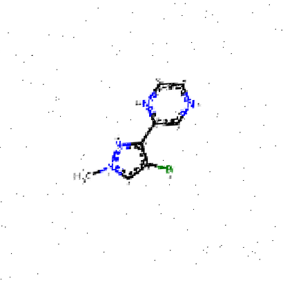 Cn1cc(Br)c(-c2cnccn2)n1